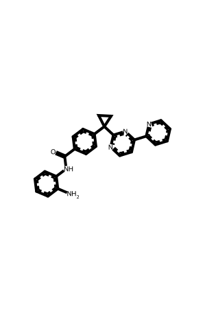 Nc1ccccc1NC(=O)c1ccc(C2(c3nccc(-c4ccccn4)n3)CC2)cc1